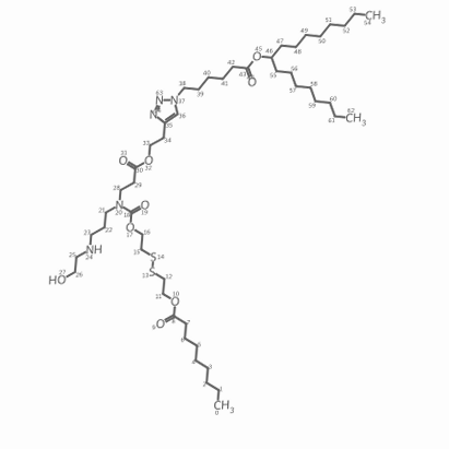 CCCCCCCCC(=O)OCCSSCCOC(=O)N(CCCNCCO)CCC(=O)OCCc1cn(CCCCCC(=O)OC(CCCCCCCC)CCCCCCCC)nn1